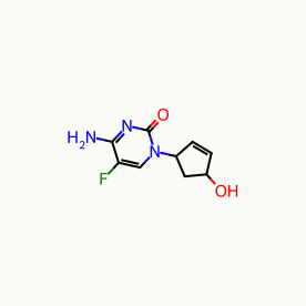 Nc1nc(=O)n(C2C=CC(O)C2)cc1F